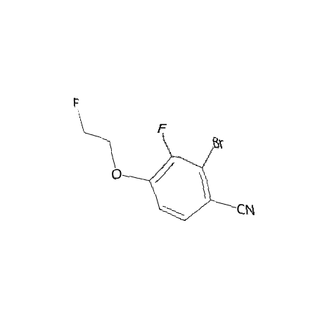 N#Cc1ccc(OCCF)c(F)c1Br